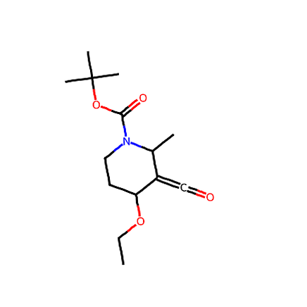 CCOC1CCN(C(=O)OC(C)(C)C)C(C)C1=C=O